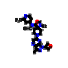 CCN(C)C1(C(=O)N(C=O)c2ccnc(C(F)(F)F)c2)CCN(c2cnc3c(C)nn(C4COC4)c3n2)CC1